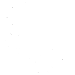 Cc1c(Cl)c(=O)oc2cc(OCC(=O)N3CCN(Cc4ccc(Cl)cc4)CC3)ccc12